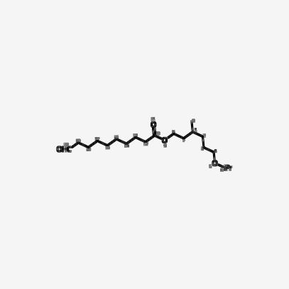 CC(CCCOC(C)C)CCOC(=O)CCCCCCCCC=O